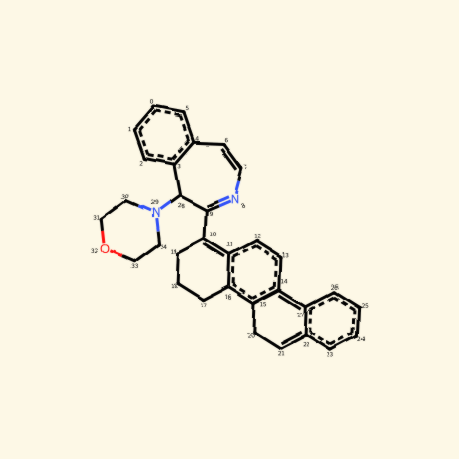 [c]1ccc2c(c1)C=CN=C(C1=c3ccc4c(c3CCC1)CC=c1ccccc1=4)C2N1CCOCC1